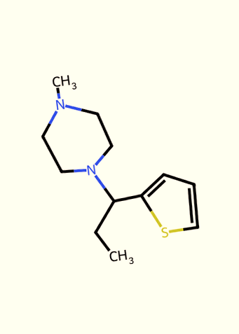 CCC(c1cccs1)N1CCN(C)CC1